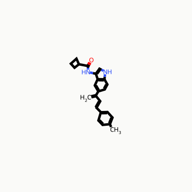 C=C(/C=C/c1ccc(C)cc1)c1ccc2[nH]cc(NC(=O)C3CCC3)c2c1